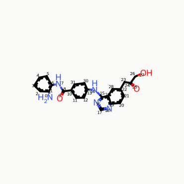 Nc1ccccc1NC(=O)c1ccc(Nc2ncnc3ccc(CC(=O)CO)cc23)cc1